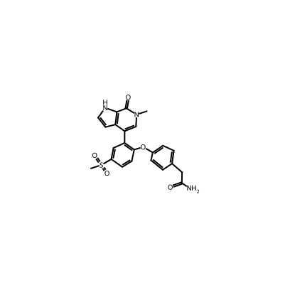 Cn1cc(-c2cc(S(C)(=O)=O)ccc2Oc2ccc(CC(N)=O)cc2)c2cc[nH]c2c1=O